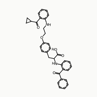 O=C(c1ccccc1)c1ccccc1NC(Cc1ccc(OCCNc2ccccc2C(=O)C2CC2)cc1)C(=O)O